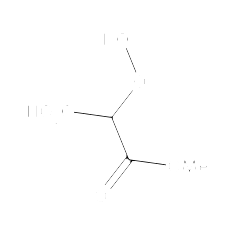 COC(=O)C(OO)C(=O)O